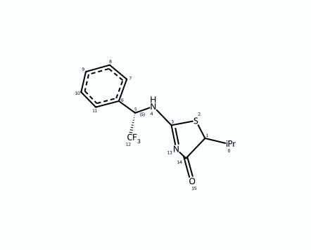 CC(C)C1SC(N[C@@H](c2ccccc2)C(F)(F)F)=NC1=O